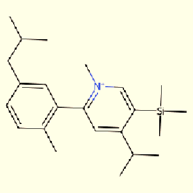 Cc1ccc(CC(C)C)cc1-c1cc(C(C)C)c([Si](C)(C)C)c[n+]1C